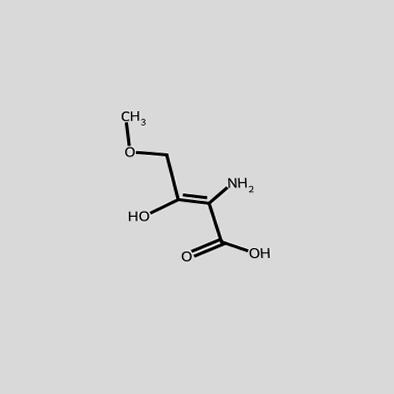 COC/C(O)=C(\N)C(=O)O